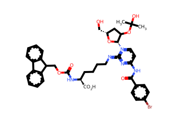 CC(C)(O)OC1C[C@@H](CO)O[C@H]1n1ccc(NC(=O)c2ccc(Br)cc2)n/c1=N\CCCC[C@H](NC(=O)OCC1c2ccccc2-c2ccccc21)C(=O)O